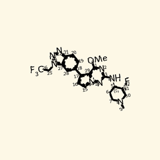 COc1nc(N[C@H]2CCN(C)C[C@H]2F)nn2ccc(-c3ccc4nnn(CC(F)(F)F)c4c3)c12